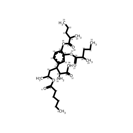 CCCCCC(=O)OC(C)CC(c1ccc(OC(=O)C(C)CCC)c(OC(=O)C(C)CCC)c1)[C@H](N)C(=O)O